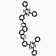 c1ccc(-c2nc(-c3ccccc3)nc(-c3cccc(-c4cc5ccc6c(ccc7cc(-c8cccc(-c9nc(-c%10ccccc%10)nc(-c%10ccccc%10)n9)c8)sc76)c5s4)c3)n2)cc1